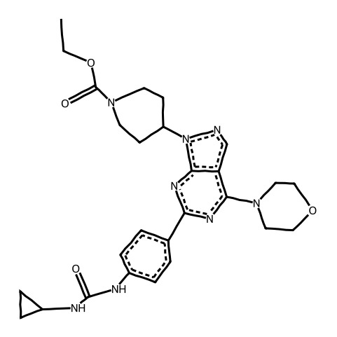 CCOC(=O)N1CCC(n2ncc3c(N4CCOCC4)nc(-c4ccc(NC(=O)NC5CC5)cc4)nc32)CC1